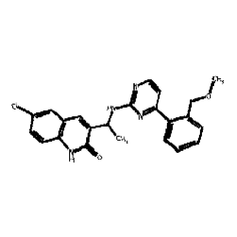 COCc1ccccc1-c1ccnc(NC(C)c2cc3cc(Cl)ccc3[nH]c2=O)n1